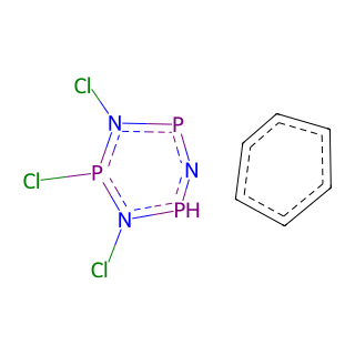 Cln1pn[pH]n(Cl)p1Cl.c1ccccc1